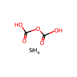 O=C(O)OC(=O)O.[SiH4]